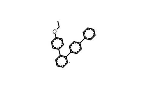 CCOc1ccc(-c2ccc[c]c2-c2ccc(-c3ccccc3)cc2)cc1